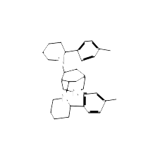 Cc1ccc(C2CCCCN2C2CC3CNCC2C(N2CCCCC2c2ccc(C)cc2)C3)cc1